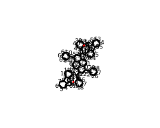 C[Si]1(C)c2ccccc2-c2cccc(N(c3ccccc3)c3cc(-c4ccccc4)c4ccc5c(N(c6ccccc6)c6cccc7c6[Si](C)(C)c6ccccc6-7)cc(-c6ccccc6)c6ccc3c4c65)c21